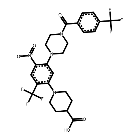 O=C(O)C1CCN(c2cc(N3CCN(C(=O)c4ccc(C(F)(F)F)cc4)CC3)c([N+](=O)[O-])cc2C(F)(F)F)CC1